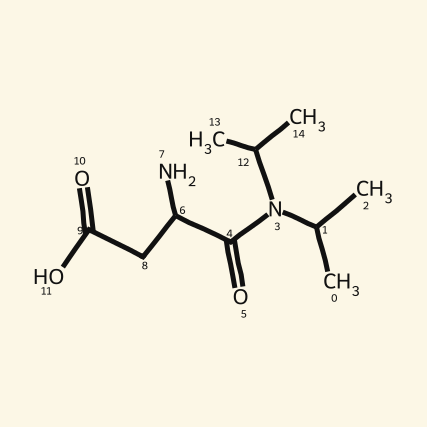 CC(C)N(C(=O)C(N)CC(=O)O)C(C)C